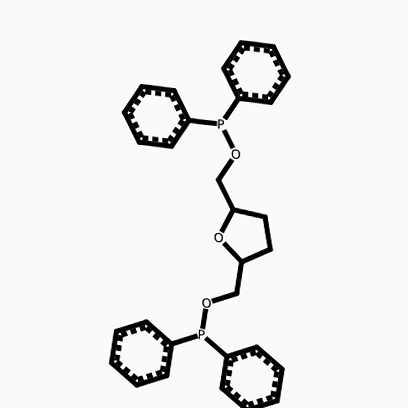 c1ccc(P(OCC2CCC(COP(c3ccccc3)c3ccccc3)O2)c2ccccc2)cc1